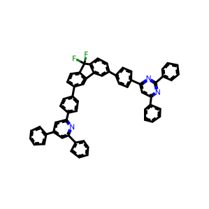 FC1(F)c2ccc(-c3ccc(-c4cc(-c5ccccc5)cc(-c5ccccc5)n4)cc3)cc2-c2cc(-c3ccc(-c4cc(-c5ccccc5)nc(-c5ccccc5)n4)cc3)ccc21